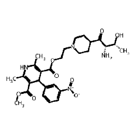 COC(=O)C1=C(C)NC(C)=C(C(=O)OCCN2CCC(C(=O)[C@@H](N)[C@@H](C)O)CC2)C1c1cccc([N+](=O)[O-])c1